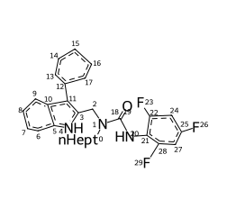 CCCCCCCN(Cc1[nH]c2ccccc2c1-c1ccccc1)C(=O)Nc1c(F)cc(F)cc1F